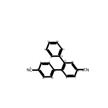 N#Cc1ccc(-c2ccc(C#N)cc2-c2ccccc2)cc1